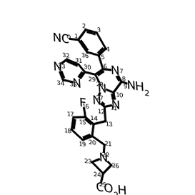 N#Cc1cccc(-c2nc(N)c3nc(Cc4c(F)cccc4CN4CC(C(=O)O)C4)nn3c2-c2ccncn2)c1